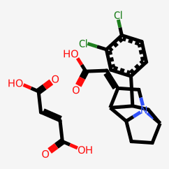 O=C(O)C=C1CN2C3CCC2C1C(c1ccc(Cl)c(Cl)c1)C3.O=C(O)C=CC(=O)O